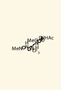 CN[C@H]1CC[C@H](Nc2cccc3c2cc(C#CCNc2ccc(S(=O)(=O)NC(C)=O)cc2OC)n3CC(F)(F)F)CC1